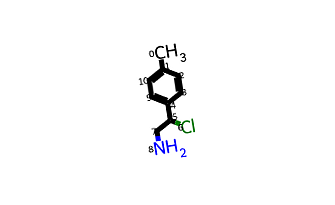 Cc1ccc(C(Cl)CN)cc1